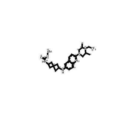 CC1CN(c2ccc3cc(NC4CC5(CC(NC(=O)OC(C)(C)C)C5)C4)ccc3n2)CC(C)N1CC(F)(F)F